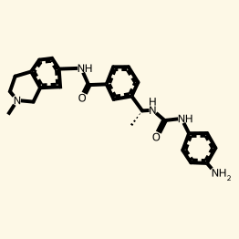 C[C@@H](NC(=O)Nc1ccc(N)cc1)c1cccc(C(=O)Nc2ccc3c(c2)CN(C)CC3)c1